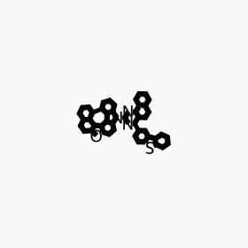 c1ccc2c(c1)ccc1c(-c3ccc4sc5ccccc5c4c3)nc(-n3c4cccc5c4c4c6c(ccc43)oc3ccc4cccc-5c4c36)nc12